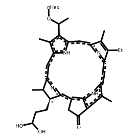 CCCCCCOC(C)c1c(C)c2cc3nc(c4c5[nH]c(cc6nc(cc1[nH]2)C(C)=C6CC)c(C)c5C(=O)C4)[C@@H](CCC(O)O)C3C